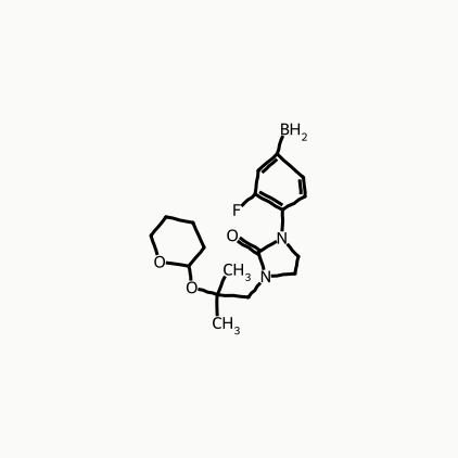 Bc1ccc(N2CCN(CC(C)(C)OC3CCCCO3)C2=O)c(F)c1